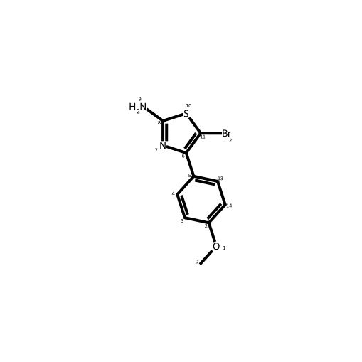 COc1ccc(-c2nc(N)sc2Br)cc1